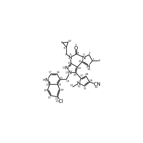 CC1CN2C(=O)N(CC3CC3)c3nn(Cc4ccnc5ccc(Cl)cc45)c(-c4cc(C#N)cn4C)c3C2=N1